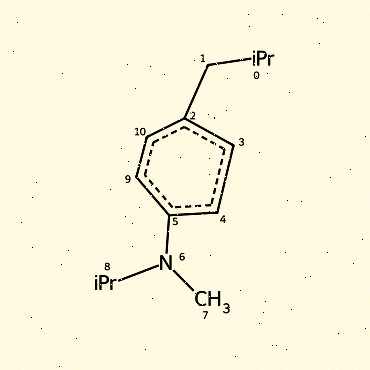 CC(C)Cc1ccc(N(C)C(C)C)cc1